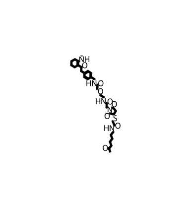 CNC1=C(C(=O)Cc2ccc(CNC(=O)COCCNC(=O)CN3C(=O)CC(SCC(=O)NCCCCCC(C)=O)C3=O)cc2)CCCC1